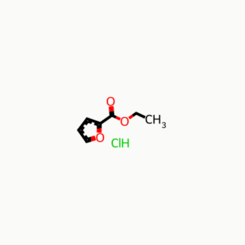 CCOC(=O)c1ccco1.Cl